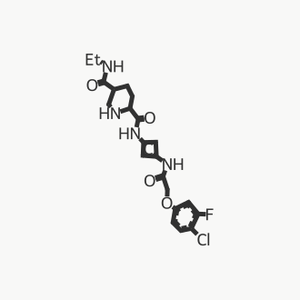 CCNC(=O)C1CCC(C(=O)NC23CC(NC(=O)COc4ccc(Cl)c(F)c4)(C2)C3)NC1